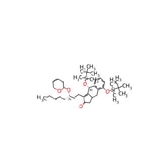 CCCCC[C@@H](CCC1=C2C(CC1=O)Cc1c(O[Si](C)(C)C(C)(C)C)cccc1[C@H]2O[Si](C)(C)C(C)(C)C)OC1CCCCO1